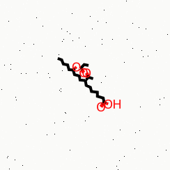 CCCCCC(CCCC(CCCCCCC(=O)O)C(C)=O)OC(=O)CC